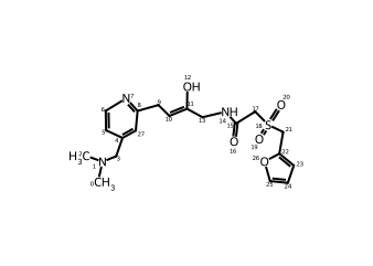 CN(C)Cc1ccnc(CC=C(O)CNC(=O)CS(=O)(=O)Cc2ccco2)c1